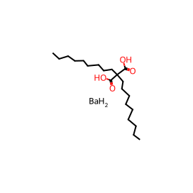 CCCCCCCCCC(CCCCCCCCC)(C(=O)O)C(=O)O.[BaH2]